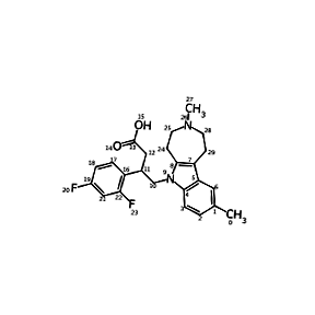 Cc1ccc2c(c1)c1c(n2CC(CC(=O)O)c2ccc(F)cc2F)CCN(C)CC1